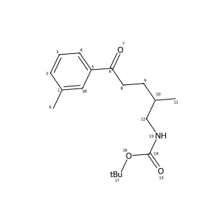 Cc1cccc(C(=O)CCC(C)CNC(=O)OC(C)(C)C)c1